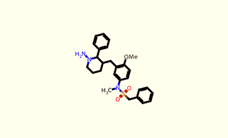 COc1ccc(N(C)S(=O)(=O)Cc2ccccc2)cc1CC1CCCN(N)C1c1ccccc1